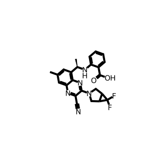 Cc1cc([C@@H](C)Nc2ccccc2C(=O)O)c2nc(N3CC4C(C3)C4(F)F)c(C#N)nc2c1